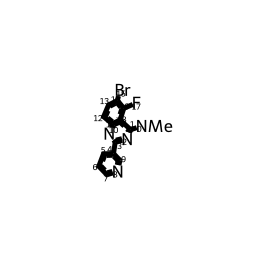 CNc1nc(-c2cccnc2)nc2ccc(Br)c(F)c12